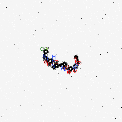 COc1cc(C(=O)N2CCN(C(=O)OCC3CCCO3)CC2)ccc1NS(=O)(=O)c1cccc2cc(-c3cc(S(=O)(=O)Nc4ccc(C(=O)N5CCN(Cc6ccc(F)c(Cl)c6)CC5)c(OC)c4)c4ncccc4c3)cnc12